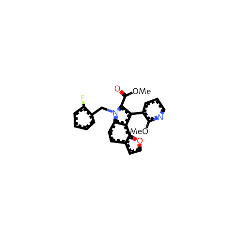 COC(=O)c1c(-c2cccnc2OC)c2c3occc3ccc2n1Cc1ccccc1F